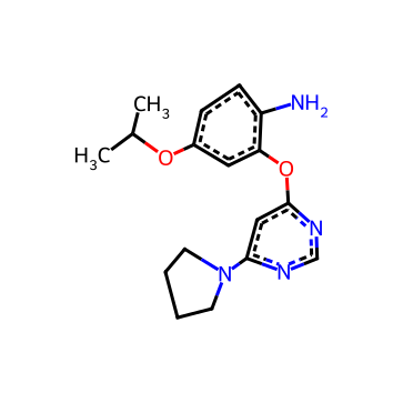 CC(C)Oc1ccc(N)c(Oc2cc(N3CCCC3)ncn2)c1